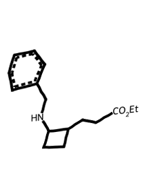 CCOC(=O)CCC1CCC1NCc1ccccc1